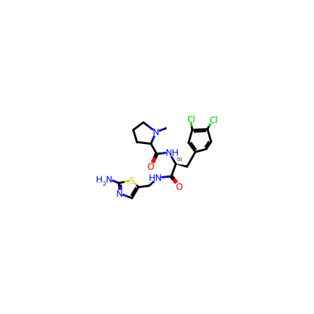 CN1CCCC1C(=O)N[C@@H](Cc1ccc(Cl)c(Cl)c1)C(=O)NCc1cnc(N)s1